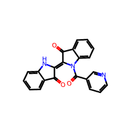 O=C1/C(=C2/C(=O)c3ccccc3N2C(=O)c2cccnc2)Nc2ccccc21